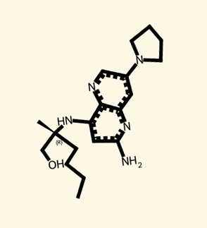 CCCC[C@](C)(CO)Nc1cc(N)nc2cc(N3CCCC3)cnc12